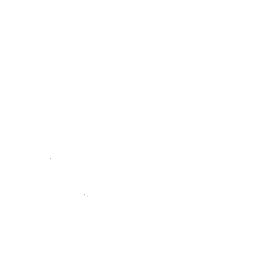 COc1ccc(OC)c(C2C=CCC(C#N)(C#N)C3=CCCCC32)c1